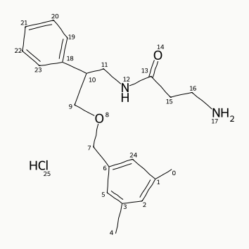 Cc1cc(C)cc(COCC(CNC(=O)CCN)c2ccccc2)c1.Cl